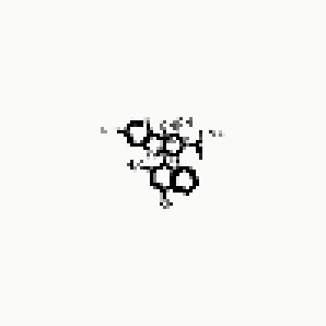 COC(=O)[C@H]1[C@@H](O)[C@@]2(O)c3ncc(C#N)cc3O[C@@]2(C2C=CC(C#N)=CC2C)[C@@H]1c1ccccc1